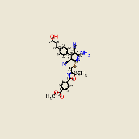 COC(=O)c1ccc(-c2nc(CSc3nc(N)c(C#N)c(-c4ccc(CCCO)cc4)c3C#N)c(C)o2)cc1